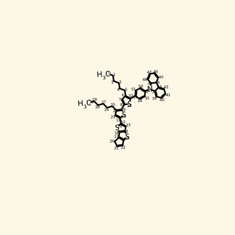 CCCCCCc1cc(-c2sc(-c3cc4sc5c(c4s3)CC=C5)cc2CCCCCC)sc1-c1ccc(N2c3ccccc3C3C=CC=CC32)cc1